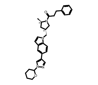 C[C@@H]1C[C@@H](Cn2ccc3cc(-c4cnn(C5CCCCO5)c4)ccc32)CN1C(=O)CCc1ccccc1